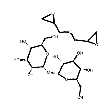 C(OCC1CO1)C1CO1.OC[C@H]1O[C@H](O[C@H]2O[C@H](CO)[C@@H](O)[C@H](O)[C@H]2O)[C@H](O)[C@@H](O)[C@@H]1O